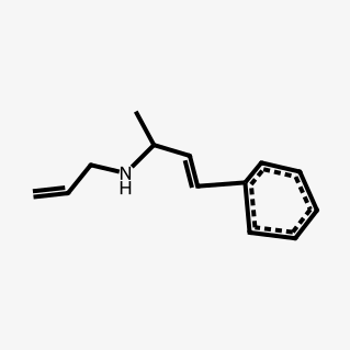 C=CCNC(C)/C=C/c1ccccc1